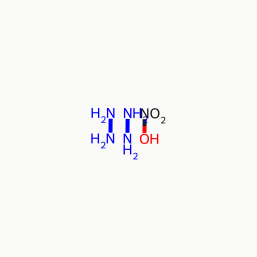 NN.NN.O=[N+]([O-])O